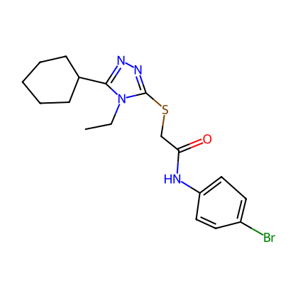 CCn1c(SCC(=O)Nc2ccc(Br)cc2)nnc1C1CCCCC1